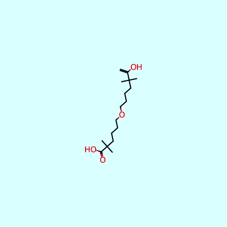 C=C(O)C(C)(C)CCCCOCCCCC(C)(C)C(=O)O